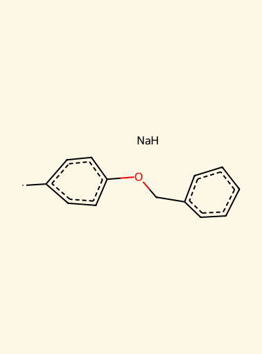 [CH2]c1ccc(OCc2ccccc2)cc1.[NaH]